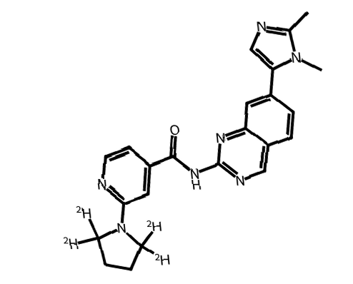 [2H]C1([2H])CCC([2H])([2H])N1c1cc(C(=O)Nc2ncc3ccc(-c4cnc(C)n4C)cc3n2)ccn1